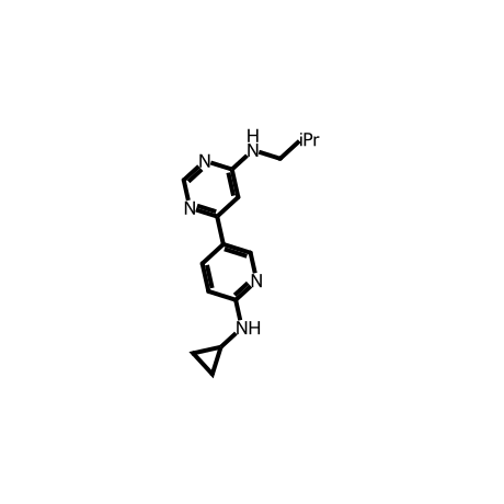 CC(C)CNc1cc(-c2ccc(NC3CC3)nc2)ncn1